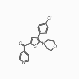 O=C(c1ccncc1)c1cc(-c2ccc(Cl)cc2)c(N2CCOCC2)s1